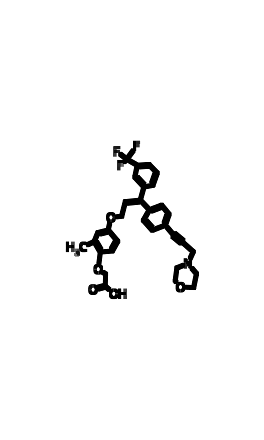 Cc1cc(OC/C=C(\c2ccc(C#CCN3CCOCC3)cc2)c2cccc(C(F)(F)F)c2)ccc1OCC(=O)O